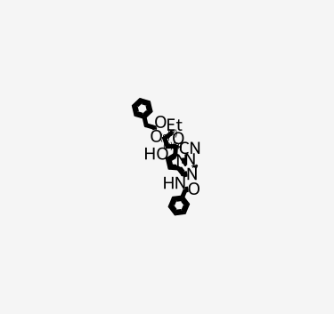 CC[C@H]1O[C@@](C#N)(c2ccc3c(NC(=O)c4ccccc4)ncnn23)[C@H](O)[C@@H]1OC(=O)Cc1ccccc1